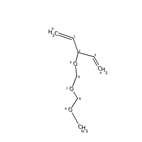 C=CC(C=C)OCOCOC